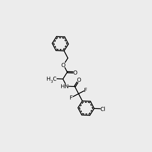 CC(NC(=O)C(F)(F)c1cccc(Cl)c1)C(=O)OCc1ccccc1